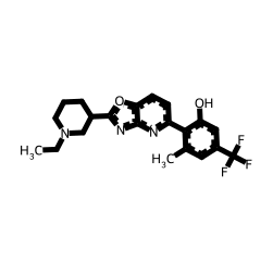 CCN1CCCC(c2nc3nc(-c4c(C)cc(C(F)(F)F)cc4O)ccc3o2)C1